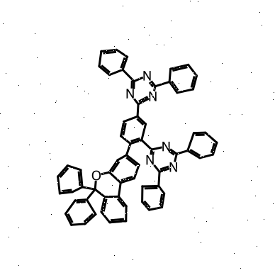 c1ccc(-c2nc(-c3ccccc3)nc(-c3ccc(-c4ccc5c(c4)OC(c4ccccc4)(c4ccccc4)c4ccccc4-5)c(-c4nc(-c5ccccc5)nc(-c5ccccc5)n4)c3)n2)cc1